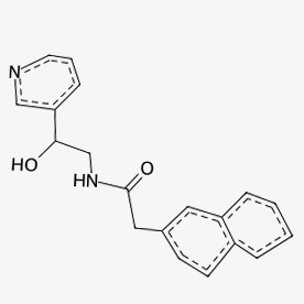 O=C(Cc1ccc2ccccc2c1)NCC(O)c1cccnc1